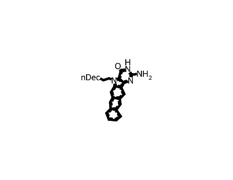 CCCCCCCCCCCCn1c2cc3cc4ccccc4cc3cc2c2nc(N)[nH]c(=O)c21